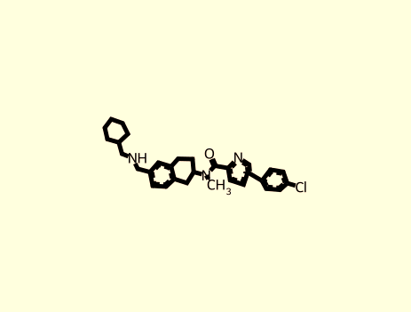 CN(C(=O)c1ccc(-c2ccc(Cl)cc2)cn1)C1CCc2cc(CNCC3CCCCC3)ccc2C1